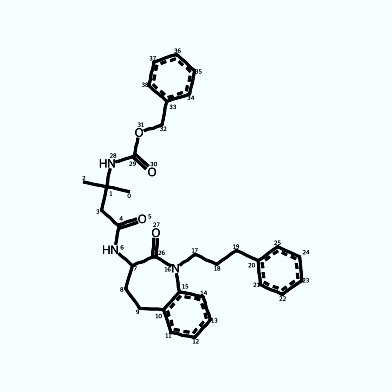 CC(C)(CC(=O)NC1CCc2ccccc2N(CCCc2ccccc2)C1=O)NC(=O)OCc1ccccc1